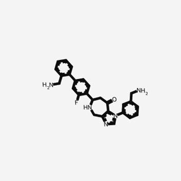 NCc1cccc(-n2cnc3c2C(=O)CC(c2ccc(-c4ccccc4CN)cc2F)NC3)c1